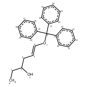 CCC(O)CC=COC(c1ccccc1)(c1ccccc1)c1ccccc1